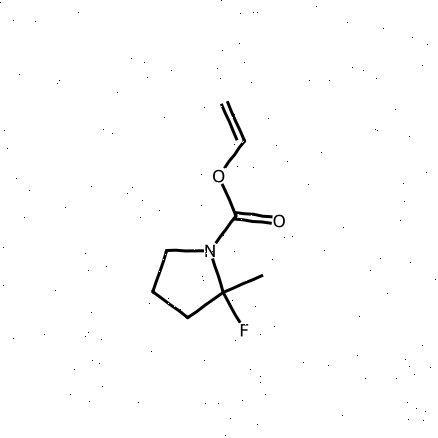 C=COC(=O)N1CCCC1(C)F